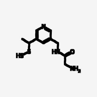 CC(SS)c1cncc(CNC(=O)CN)c1